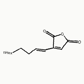 CCCCCCCC/C=C/C1=CC(=O)OC1=O